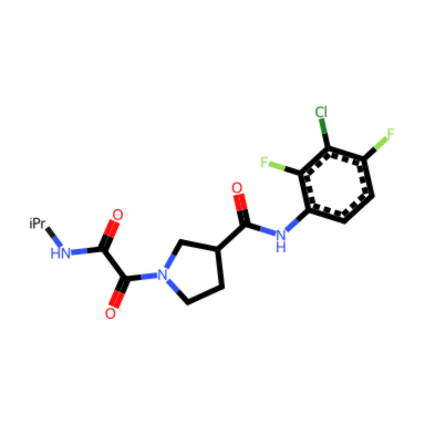 CC(C)NC(=O)C(=O)N1CCC(C(=O)Nc2ccc(F)c(Cl)c2F)C1